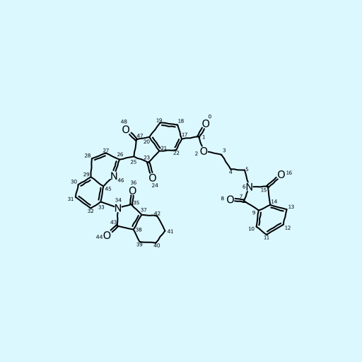 O=C(OCCCN1C(=O)c2ccccc2C1=O)c1ccc2c(c1)C(=O)C(c1ccc3cccc(N4C(=O)C5=C(CCCC5)C4=O)c3n1)C2=O